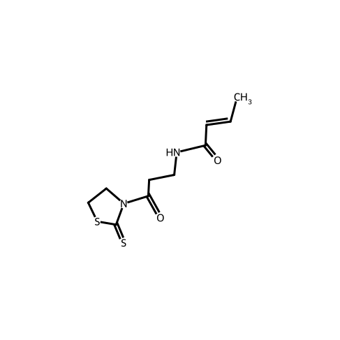 CC=CC(=O)NCCC(=O)N1CCSC1=S